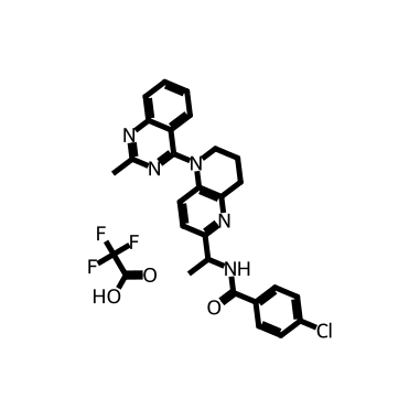 Cc1nc(N2CCCc3nc(C(C)NC(=O)c4ccc(Cl)cc4)ccc32)c2ccccc2n1.O=C(O)C(F)(F)F